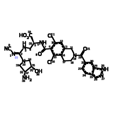 N#C/N=C(\NC[C@H](NC(=O)c1c(Cl)cc2c(c1Cl)CCN(C(=O)c1ccc3cn[nH]c3c1)C2)C(=O)O)N1C[C@@H](O)[C@@H](N)C1